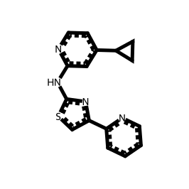 c1ccc(-c2csc(Nc3cc(C4CC4)ccn3)n2)nc1